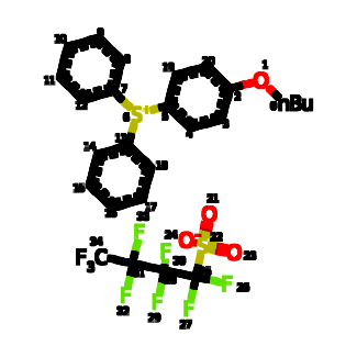 CCCCOc1ccc([S+](c2ccccc2)c2ccccc2)cc1.O=S(=O)([O-])C(F)(F)C(F)(F)C(F)(F)C(F)(F)F